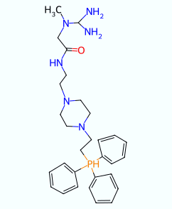 CN(CC(=O)NCCN1CCN(CC[PH](c2ccccc2)(c2ccccc2)c2ccccc2)CC1)C(N)N